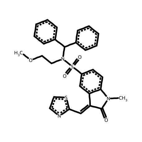 COCCN(C(c1ccccc1)c1ccccc1)S(=O)(=O)c1ccc2c(c1)/C(=C\c1nccs1)C(=O)N2C